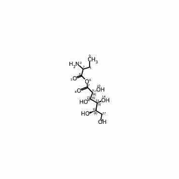 CCC(N)C(=O)OC(=O)[C@H](O)[C@@H](O)[C@@H](O)[C@H](O)CO